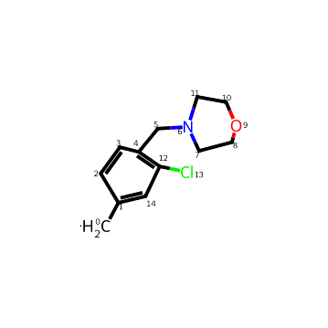 [CH2]c1ccc(CN2CCOCC2)c(Cl)c1